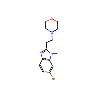 Cn1c(CCN2CCOCC2)nc2ccc(Br)cc21